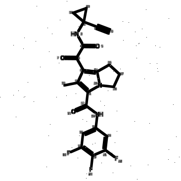 C#CC1(NC(=O)C(=O)c2c(C)c(C(=O)Nc3cc(F)c(F)c(F)c3)n3c2CCC3)CC1